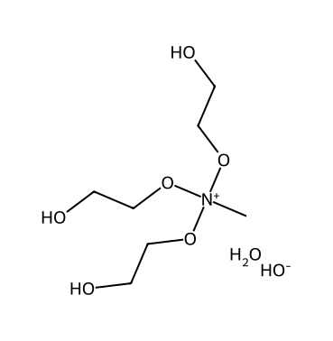 C[N+](OCCO)(OCCO)OCCO.O.[OH-]